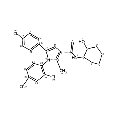 Cc1c(C(=O)NC2CCCCC2O)cc(-c2ccc(Cl)cc2)n1-c1ccc(Cl)cc1Cl